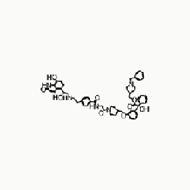 O=C(NCC(=O)N1CCC(COc2cccc([C@](O)(C(=O)OCC3CCN(Cc4ccccc4)CC3)c3ccccc3)c2)CC1)c1ccc(CCNC[C@H](O)c2ccc(O)c3[nH]c(=O)ccc23)cc1